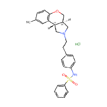 Cl.N#Cc1ccc2c(c1)[C@H]1CN(CCc3ccc(NS(=O)(=O)c4ccccc4)cc3)C[C@@H]1CO2